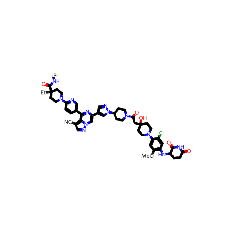 CCC1(C(=O)NC(C)C)CCN(c2ccc(-c3nc(-c4cnn(C5CCN(C(=O)CC6(O)CCN(c7cc(OC)c(NC8CCC(=O)NC8=O)cc7Cl)CC6)CC5)c4)cn4ncc(C#N)c34)cn2)CC1